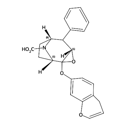 O=C(O)N1[C@@H]2CC[C@H]1C1(Oc3ccc4c(c3)OC=CC4)O[C@H]1C2c1ccccc1